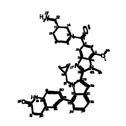 COc1cc(C(=O)N2CCC[C@@H](CN)C2)cc2nc(-c3cc4cccc(-c5ccc6c(c5)CCC(=O)N6)c4n3CC3CC3)n(C)c12